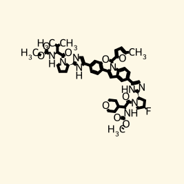 COC(=O)N[C@H](C(=O)N1CCC[C@H]1c1ncc(-c2ccc3c(c2)OC(c2ccc(C)o2)n2c-3cc3cc(-c4cnc([C@@H]5C[C@@H](F)CN5C(=O)[C@@H](NC(=O)OC)C5CCOCC5)[nH]4)ccc32)[nH]1)C(C)C